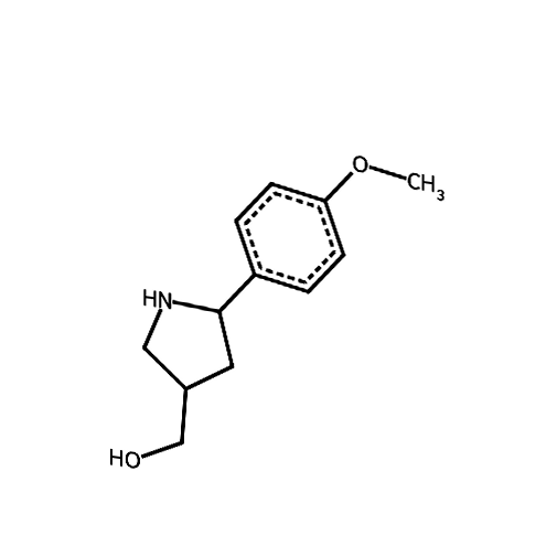 COc1ccc(C2CC(CO)CN2)cc1